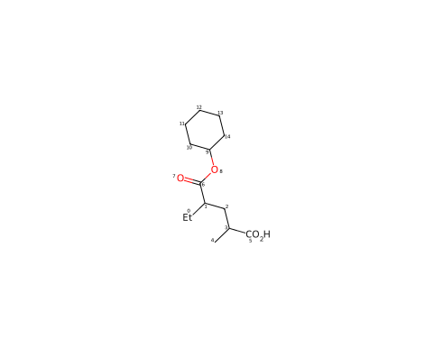 CCC(CC(C)C(=O)O)C(=O)OC1CCCCC1